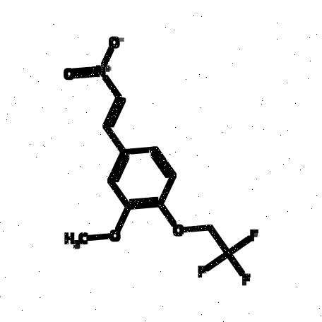 COc1cc(C=C[N+](=O)[O-])ccc1OCC(F)(F)F